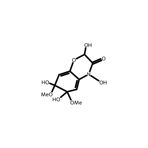 COC1(O)C=C2OC(O)C(=O)N(O)C2=CC1(O)OC